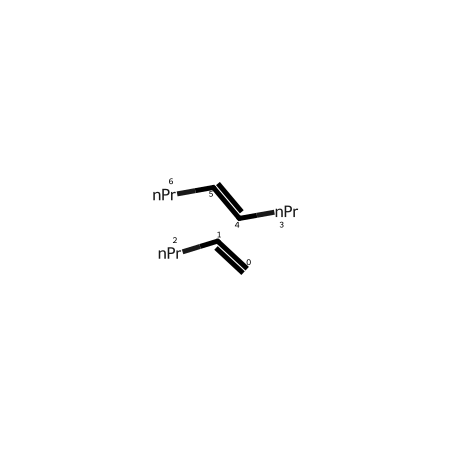 C=CCCC.CCC/C=C/CCC